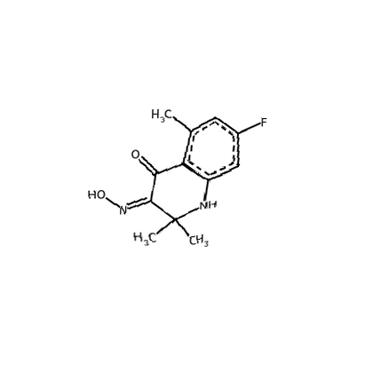 Cc1cc(F)cc2c1C(=O)/C(=N\O)C(C)(C)N2